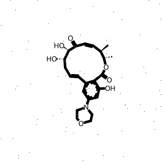 C[C@@H]1/C=C\C(=O)[C@@H](O)[C@@H](O)C/C=C/c2cc(N3CCOCC3)cc(O)c2C(=O)O[C@H]1C